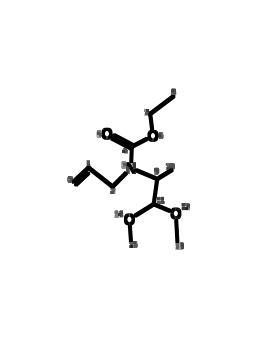 C=CCN(C(=O)OCC)C(C)C(OC)OC